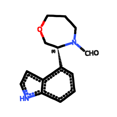 O=CN1CCCOC[C@H]1c1cccc2[nH]ccc12